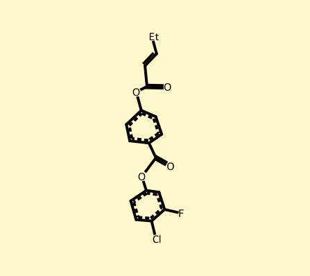 CC/C=C/C(=O)Oc1ccc(C(=O)Oc2ccc(Cl)c(F)c2)cc1